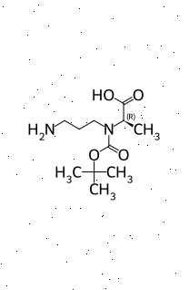 C[C@H](C(=O)O)N(CCCN)C(=O)OC(C)(C)C